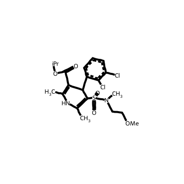 COCCN(C)S(=O)(=O)C1=C(C)NC(C)=C(C(=O)OC(C)C)C1c1cccc(Cl)c1Cl